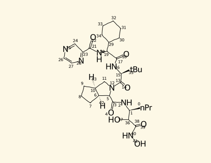 CCC[C@H](NC(=O)C1[C@H]2CCC[C@H]2CN1C(=O)[C@@H](NC(=O)[C@@H](NC(=O)c1cnccn1)C1CCCCC1)C(C)(C)C)C(O)C(=O)NO